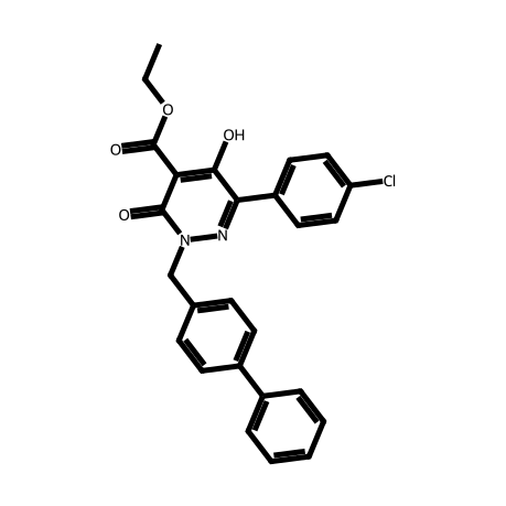 CCOC(=O)c1c(O)c(-c2ccc(Cl)cc2)nn(Cc2ccc(-c3ccccc3)cc2)c1=O